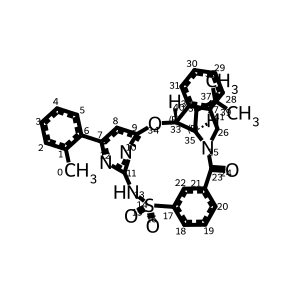 Cc1ccccc1-c1cc2nc(n1)NS(=O)(=O)c1cccc(c1)C(=O)N1Cc3ccccc3[C@@H](O2)[C@H]1CC(C)C